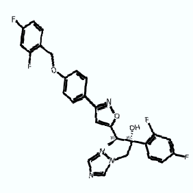 C[C@@H](c1cc(-c2ccc(OCc3ccc(F)cc3F)cc2)no1)[C@](O)(Cn1cncn1)c1ccc(F)cc1F